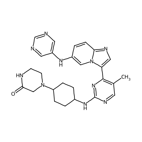 Cc1cnc(NC2CCC(N3CCNC(=O)C3)CC2)nc1-c1cnc2ccc(Nc3cncnc3)cn12